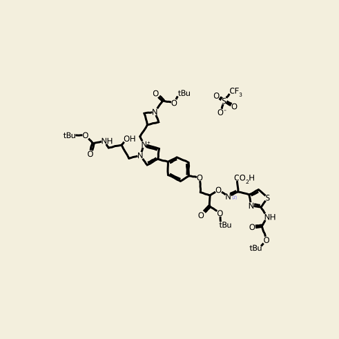 CC(C)(C)OC(=O)NCC(O)Cn1cc(-c2ccc(OCC(O/N=C(\C(=O)O)c3csc(NC(=O)OC(C)(C)C)n3)C(=O)OC(C)(C)C)cc2)c[n+]1CC1CN(C(=O)OC(C)(C)C)C1.O=S(=O)([O-])C(F)(F)F